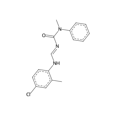 Cc1cc(Cl)ccc1NC=NC(=O)N(C)c1ccccc1